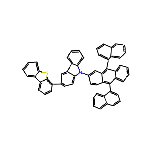 c1ccc2c(-c3c4ccccc4c(-c4cccc5ccccc45)c4cc(-n5c6ccccc6c6cc(-c7cccc8c7sc7ccccc78)ccc65)ccc34)cccc2c1